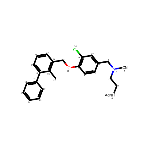 CC(=O)NCCN(C#N)Cc1ccc(OCc2cccc(-c3ccccc3)c2C)c(Cl)c1